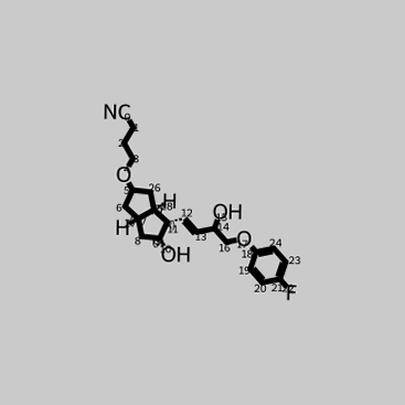 N#CCCCOC1C[C@H]2C[C@H](O)[C@@H](C=CC(O)COc3ccc(F)cc3)[C@@H]2C1